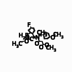 Bc1cc(F)ccc1[C@@H](CC(=O)OCC)N(C(=O)CC(=O)OC)[C@@H](C)c1ccc(OC)cc1